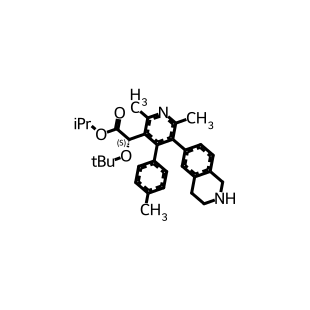 Cc1ccc(-c2c(-c3ccc4c(c3)CCNC4)c(C)nc(C)c2[C@H](OC(C)(C)C)C(=O)OC(C)C)cc1